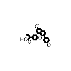 CCC(C(=O)O)c1ccc(Oc2c(-c3ccc(OC)cc3)ccc3cc(OC)ccc23)cc1